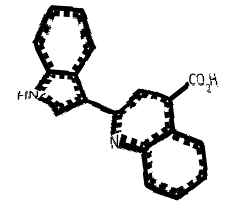 O=C(O)c1cc(-c2c[nH]c3ccccc23)nc2ccccc12